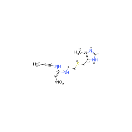 CC#CN/C(=C/[N+](=O)[O-])NCCSCc1[nH]cnc1C